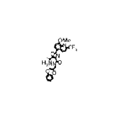 COc1ccc(-c2nc(C(=O)NCC3COc4ccccc4O3)c([C@H](C)N)o2)c2ccc(C(F)(F)F)nc12